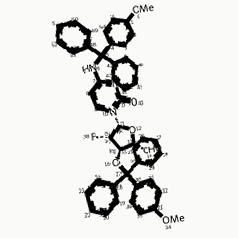 COc1ccc(C(Nc2ccn([C@@H]3O[C@H](C=O)[C@@H](OC(c4ccccc4)(c4ccccc4)c4ccc(OC)cc4)[C@@H]3F)c(=O)n2)(c2ccccc2)c2ccccc2)cc1